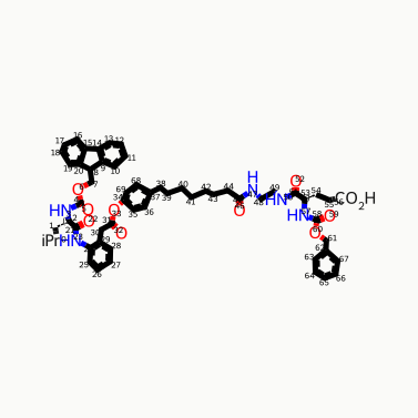 CC(C)C[C@H](NC(=O)OCC1c2ccccc2-c2ccccc21)C(=O)Nc1ccccc1CC(=O)Oc1ccc(CCCCCCCC(=O)NCCNC(=O)[C@H](CCC(=O)O)NC(=O)OCc2ccccc2)cc1